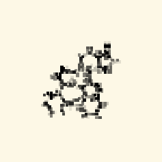 Cc1cccnc1-c1nnc(N2CCc3[nH]cnc3[C@H]2c2cc3c(F)cccn3n2)o1